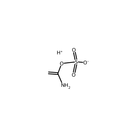 C=C(N)OS(=O)(=O)[O-].[H+]